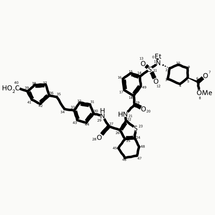 CCN([C@H]1CC[C@H](C(=O)OC)CC1)S(=O)(=O)c1cccc(C(=O)Nc2sc3c(c2C(=O)Nc2ccc(CCc4ccc(C(=O)O)cc4)cc2)CCCC3)c1